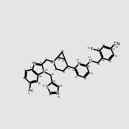 CC(=O)c1ccc2nc(CN3CCC(c4cccc(OCc5ccc(C#N)cc5F)n4)C4CC43)n(Cc3cncs3)c2c1